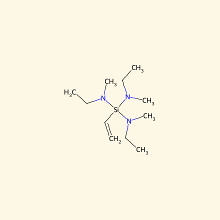 C=C[Si](N(C)CC)(N(C)CC)N(C)CC